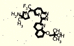 CC(C)(O)COc1cccc2ccc(-c3nnc4ccc([C@@H](N5CCC(C)(N)C5)C(F)(F)F)cn34)nc12